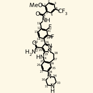 COc1ccc(C(F)(F)F)cc1C(=O)NCc1ccc(-c2nn3c(c2C(N)=O)Nc2ccc(N4CCNCC4)cc2CC3)c(F)c1F